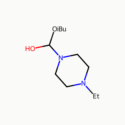 CCN1CCN(C(O)OCC(C)C)CC1